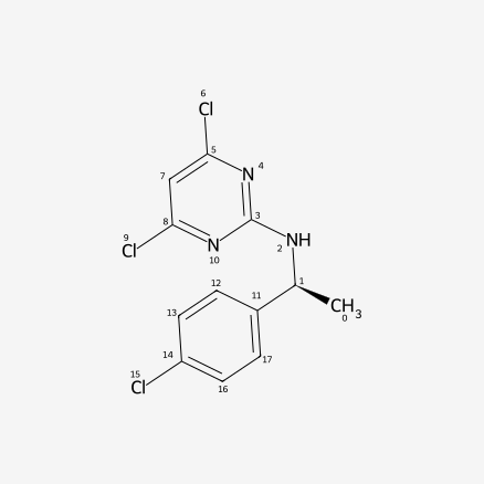 C[C@H](Nc1nc(Cl)cc(Cl)n1)c1ccc(Cl)cc1